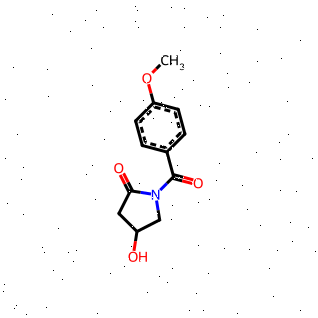 COc1ccc(C(=O)N2CC(O)CC2=O)cc1